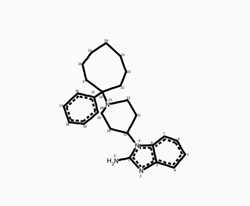 Nc1nc2ccccc2n1C1CCN(C2(c3ccccc3)CCCCCCC2)CC1